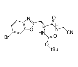 CC(C)(C)OC(=O)N[C@@H](Cc1nc2ccc(Br)cc2o1)C(=O)NCC#N